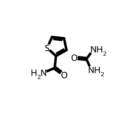 NC(=O)c1cccs1.NC(N)=O